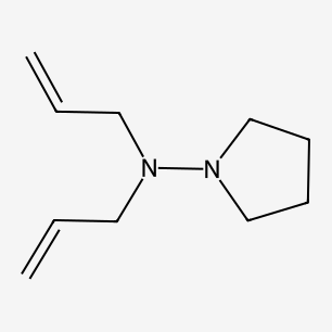 C=CCN(CC=C)N1CCCC1